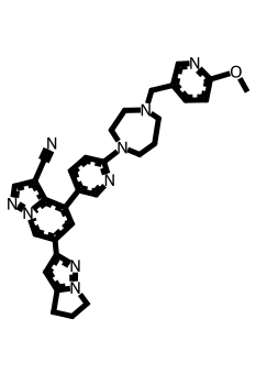 COc1ccc(CN2CCCN(c3ccc(-c4cc(-c5cc6n(n5)CCC6)cn5ncc(C#N)c45)cn3)CC2)cn1